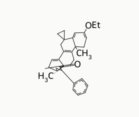 CCOC1=CCC2(C)C(=C1)C1(CC1)CC1=C2CC[C@@]23C(=O)C(c4ccccc4)C[C@]2(C)CC=C13